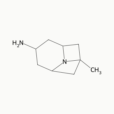 CC12CC3CC(N)CC(C1)N32